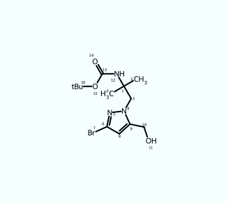 CC(C)(Cn1nc(Br)cc1CO)NC(=O)OC(C)(C)C